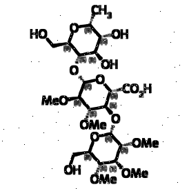 CO[C@@H]1[C@@H](OC)[C@H](O[C@H]2[C@H](O)[C@@H](O)[C@@H](C)O[C@@H]2CO)O[C@H](C(=O)O)[C@H]1O[C@H]1O[C@H](CO)[C@@H](OC)[C@H](OC)[C@H]1OC